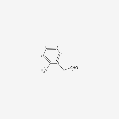 Nc1ccccc1CC=O